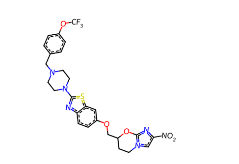 O=[N+]([O-])c1cn2c(n1)OC(COc1ccc3nc(N4CCN(Cc5ccc(OC(F)(F)F)cc5)CC4)sc3c1)CC2